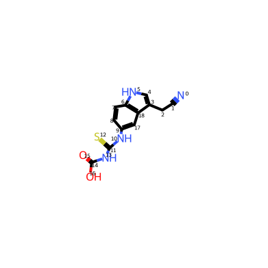 N#CCc1c[nH]c2ccc(NC(=S)NC(=O)O)cc12